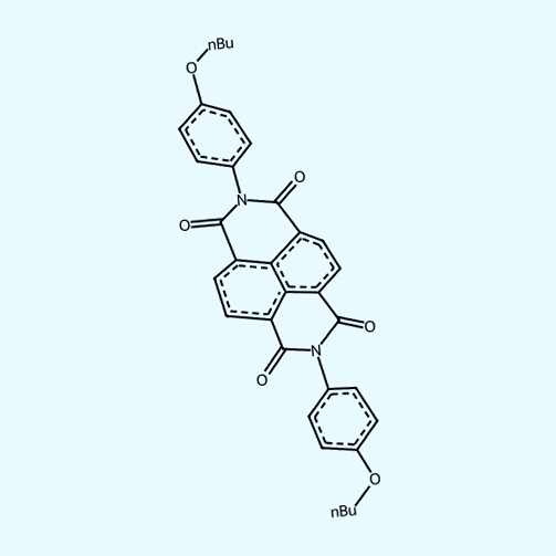 CCCCOc1ccc(N2C(=O)c3ccc4c5c(ccc(c35)C2=O)C(=O)N(c2ccc(OCCCC)cc2)C4=O)cc1